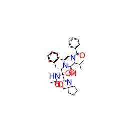 CC(=O)NC(O)(C1=NC2(CCCC2)CO1)[C@H](Cc1ccccc1)N1C(=O)C(C(C)C)N(C(=O)c2ccccc2)C=C1c1ccccc1